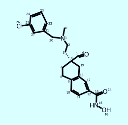 CN(CC[C@@]1(C=O)CCc2ccc(C(=O)NO)cc2C1)Cc1cccc(Cl)c1